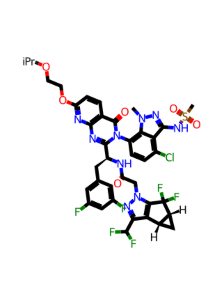 CC(C)OCCOc1ccc2c(=O)n(-c3ccc(Cl)c4c(NS(C)(=O)=O)nn(C)c34)c([C@H](Cc3cc(F)cc(F)c3)NC(=O)Cn3nc(C(F)F)c4c3C(F)(F)[C@@H]3C[C@H]43)nc2n1